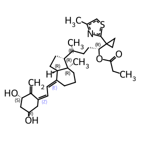 C=C1/C(=C\C=C2/CCC[C@]3(C)[C@@H]([C@H](C)CC[C@@H](OC(=O)CC)C4(c5nc(C)cs5)CC4)CC[C@@H]23)C[C@@H](O)C[C@@H]1O